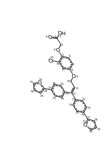 O=C(O)COc1ccc(OCC=C(c2ccc(-c3ccco3)cc2)c2ccc(-c3ccco3)cc2)cc1Cl